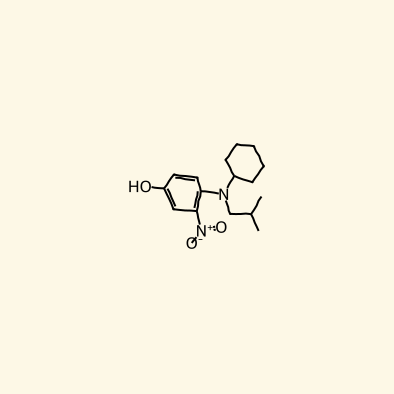 CC(C)CN(c1ccc(O)cc1[N+](=O)[O-])C1CCCCC1